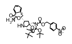 CC(C)(C)OC(=O)N(C[C@]1(O[Si](C)(C)C(C)(C)C)CN[C@H](CSc2ccccc2S(N)(=O)=O)C1)C(=O)OCc1ccc([N+](=O)[O-])cc1